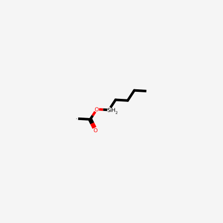 [CH2]C(=O)O[SiH2]CCCC